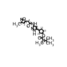 Cc1cc(CC(=O)Nc2cc(C3CCC(OC(=O)N(C)C(C)C)C3)[nH]n2)on1